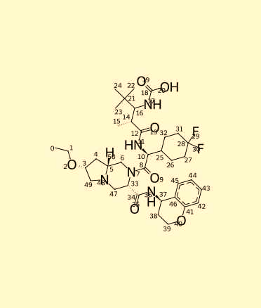 CCO[C@@H]1C[C@@H]2CN(C(=O)[C@@H](NC(=O)[C@H](C)C(NC(=O)O)C(C)(C)C)C3CCC(F)(F)CC3)[C@H](C(=O)N[C@@H]3CCOc4ccccc43)CN2C1